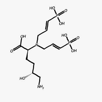 NC[C@H](O)CC[C@@H](C(=O)O)N(CC=CP(=O)(O)O)CC=CP(=O)(O)O